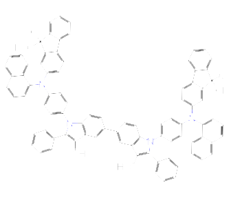 Cc1c(-c2ccccc2)n(-c2ccc(N(c3ccc4c(c3)C(C)(C)c3ccccc3-4)c3cccc4ccccc34)cc2)c2ccc(-c3ccc4c(c3)c(C)c(-c3ccccc3)n4-c3ccc(N(c4ccc5c(c4)C(C)(C)c4ccccc4-5)c4cccc5ccccc45)cc3)cc12